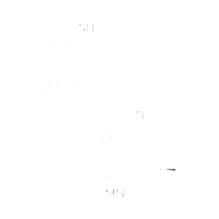 C#C[C@H]1CNCC(Oc2nccc3cc(C(N)=O)c(OC(C)C)cc23)C1